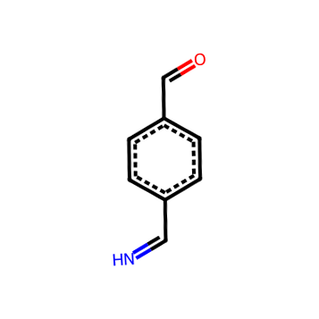 N=Cc1ccc(C=O)cc1